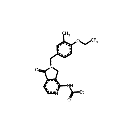 CCC(=O)Nc1nccc2c1CN(Cc1ccc(OCC(F)(F)F)c(C)c1)C2=O